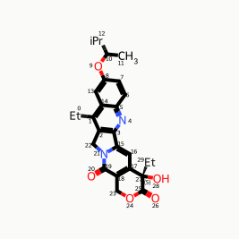 CCc1c2c(nc3ccc(OC(C)C(C)C)cc13)-c1cc3c(c(=O)n1C2)COC(=O)[C@]3(O)CC